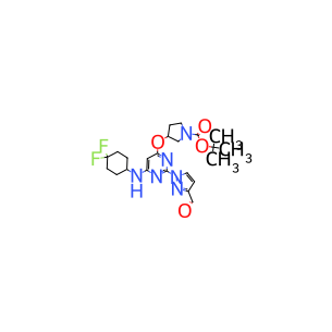 CC(C)(C)OC(=O)N1CCC(Oc2cc(NC3CCC(F)(F)CC3)nc(-n3ccc(C=O)n3)n2)C1